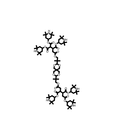 CC1(C)CC(OC(=O)CC(C(=O)OC2CC(C)(C)NC(C)(C)C2)C(CC(=O)OCC(C)(C)C2OCC3(CO2)COC(C(C)(C)COC(=O)CC(C(=O)OC2CC(C)(C)NC(C)(C)C2)C(C(=O)OC2CC(C)(C)NC(C)(C)C2)C(=O)OC2CC(C)(C)NC(C)(C)C2)OC3)C(=O)OC2CC(C)(C)NC(C)(C)C2)CC(C)(C)N1